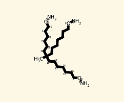 CC(CCCCCCCON)(CCCCCCCON)CCCCCCON